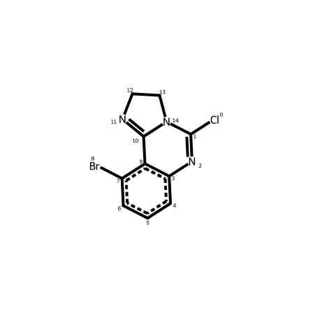 ClC1=Nc2cccc(Br)c2C2=NCCN12